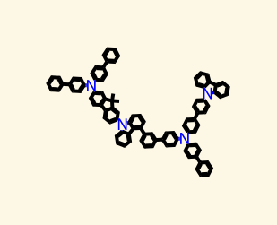 CC1(C)c2cc(N(c3ccc(-c4ccccc4)cc3)c3ccc(-c4ccccc4)cc3)ccc2-c2ccc(-n3c4ccccc4c4c(-c5cccc(-c6ccc(N(c7ccc(-c8ccccc8)cc7)c7ccc(-c8ccc(-n9c%10ccccc%10c%10ccccc%109)cc8)cc7)cc6)c5)cccc43)cc21